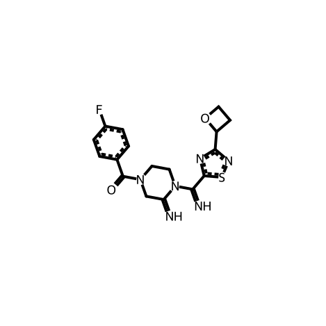 N=C1CN(C(=O)c2ccc(F)cc2)CCN1C(=N)c1nc(C2CCO2)ns1